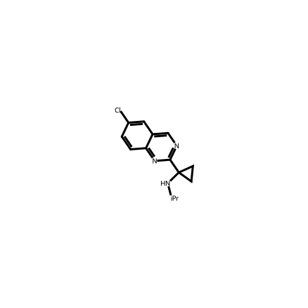 CC(C)NC1(c2ncc3cc(Cl)ccc3n2)CC1